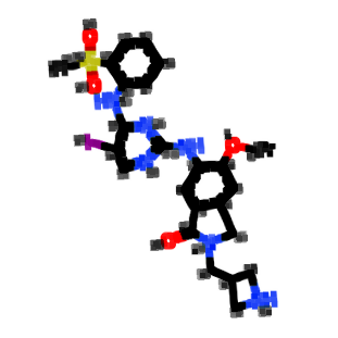 CC(C)Oc1cc2c(cc1Nc1ncc(I)c(Nc3ccccc3S(=O)(=O)C(C)C)n1)C(=O)N(CC1CNC1)C2